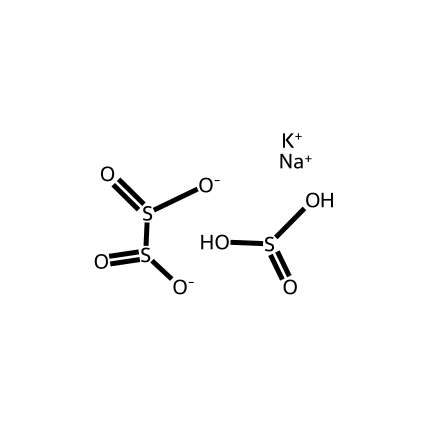 O=S(O)O.O=S([O-])S(=O)[O-].[K+].[Na+]